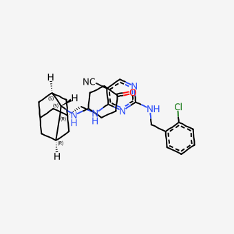 N#Cc1cnc(NCc2ccccc2Cl)nc1NC[C@@]12CC3C[C@H](C1)[C@@H](NC1CCC(=O)CC1)[C@@H](C3)C2